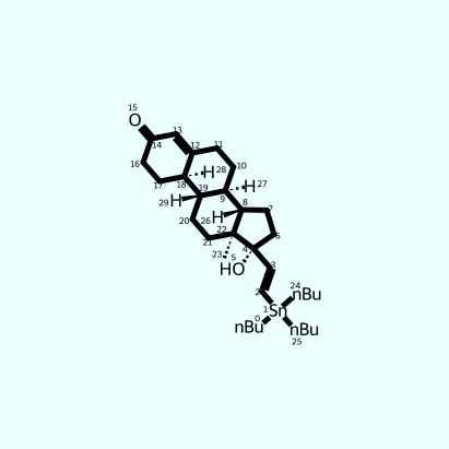 CCC[CH2][Sn](/[CH]=C/[C@]1(O)CC[C@H]2[C@@H]3CCC4=CC(=O)CC[C@@H]4[C@H]3CC[C@@]21C)([CH2]CCC)[CH2]CCC